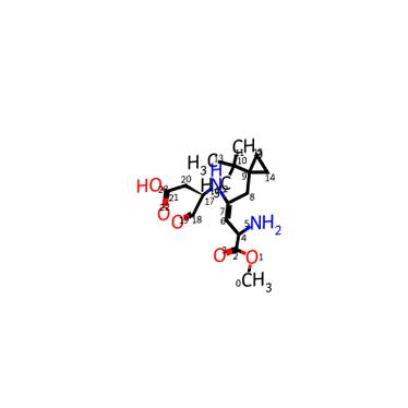 COC(=O)C(N)C=C(CC1(C(C)(C)C)CC1)N[C@@H](C=O)CC(=O)O